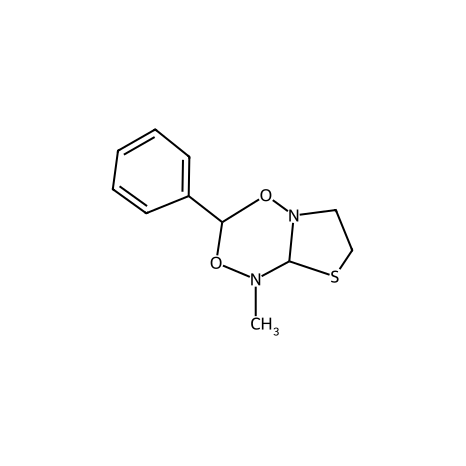 CN1OC(c2ccccc2)ON2CCSC12